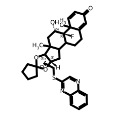 CC12C[C@H](O)[C@@]3(F)C(CCC4=CC(=O)C=CC43C)C1C[C@@H]1OC3(CCCC3)O[C@]12C(=O)CSc1cnc2ccccc2n1